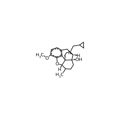 COc1ccc2c3c1O[C@H]1C(C)CC[C@@]4(O)[C@@H](C2)N(CC2CC2)CC[C@]314